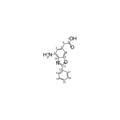 Nc1cc(CC(=O)O)cc2oc(-c3ccccc3)nc12